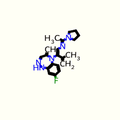 C=C(C)/C(=C\N=C(/C)N1CCCC1)N1C(=C)C=NNc2cc(F)ccc21